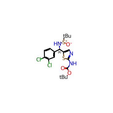 CC(C)(C)OC(=O)Nc1ncc([C@H](N[S+]([O-])C(C)(C)C)c2ccc(Cl)c(Cl)c2)s1